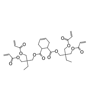 C=CC(=O)OCC(CC)(COC(=O)C=C)COC(=O)C1CC=CCC1C(=O)OCC(CC)(COC(=O)C=C)COC(=O)C=C